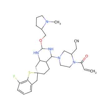 C=CC(=O)N1CCN(C2NC(OCC3CCCN3C)NC3C[C@]4(CCC32)Cc2cccc(F)c2S4)CC1CC#N